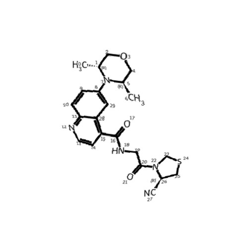 C[C@@H]1COC[C@@H](C)N1c1ccc2nccc(C(=O)NCC(=O)N3CSC[C@H]3C#N)c2c1